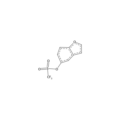 O=S(=O)(Oc1ccc2occc2c1)C(F)(F)F